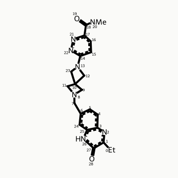 CCc1nc2ccc(CN3CC4(C3)CN(c3ccc(C(=O)NC)nn3)C4)cc2[nH]c1=O